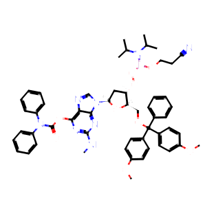 CNc1nc(OC(=O)N(c2ccccc2)c2ccccc2)c2ncn([C@H]3C[C@H](OOP(OCCC#N)N(C(C)C)C(C)C)[C@@H](COC(c4ccccc4)(c4ccc(OC)cc4)c4ccc(OC)cc4)O3)c2n1